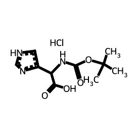 CC(C)(C)OC(=O)NC(C(=O)O)c1c[nH]cn1.Cl